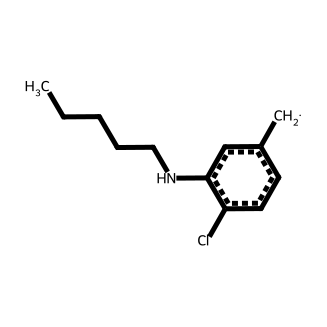 [CH2]c1ccc(Cl)c(NCCCCC)c1